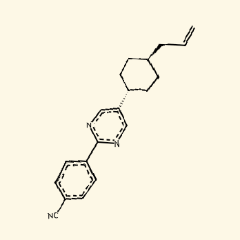 C=CC[C@H]1CC[C@H](c2cnc(-c3ccc(C#N)cc3)nc2)CC1